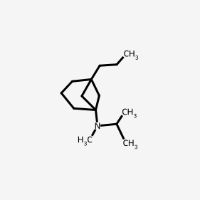 CCCC12CCCC(N(C)C(C)C)(C1)C2